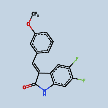 O=C1Nc2cc(F)c(F)cc2C1=Cc1cccc(OC(F)(F)F)c1